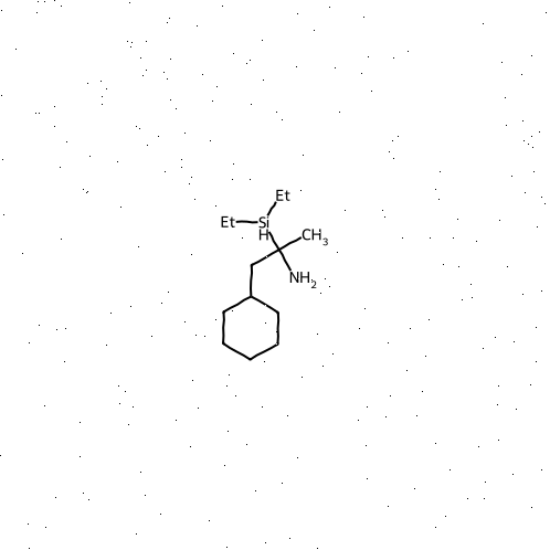 CC[SiH](CC)C(C)(N)CC1CCCCC1